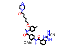 COc1cc(C(=O)N(C)c2ccc(C)cc2OCCCCCC(=O)N2CCN(C)CC2)ccc1NC(=O)c1cccc2[nH]c(NC#N)nc12